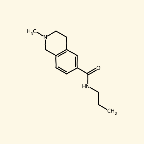 CCCNC(=O)c1ccc2c(c1)CCN(C)C2